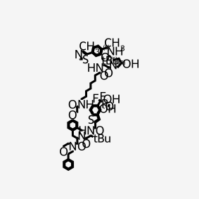 Cc1ncsc1-c1ccc([C@H](C)NC(=O)[C@@H]2C[C@@H](O)CN2C(=O)C(NC(=O)CCCCCCCNC(=O)COc2ccc3c(c2)CN(C(=O)C(NC(=O)c2cc4cc(C(F)(F)P(=O)(O)O)ccc4s2)C(C)(C)C)C(C(=O)N2CCOC(c4ccccc4)C2)C3)C(C)(C)C)cc1